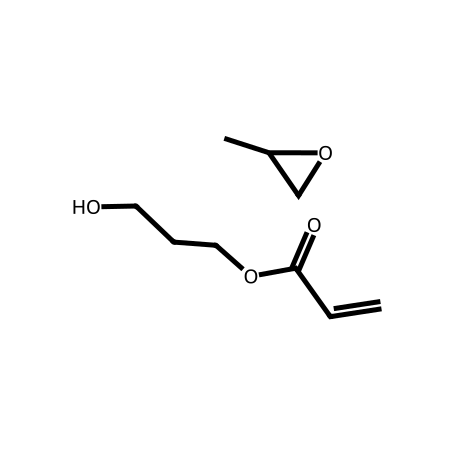 C=CC(=O)OCCCO.CC1CO1